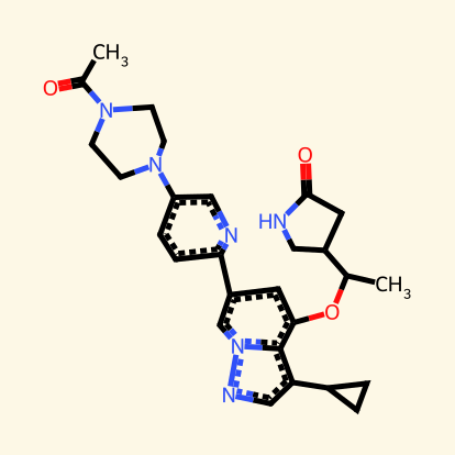 CC(=O)N1CCN(c2ccc(-c3cc(OC(C)C4CNC(=O)C4)c4c(C5CC5)cnn4c3)nc2)CC1